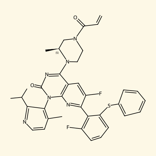 C=CC(=O)N1CCN(c2nc(=O)n(-c3c(C)ccnc3C(C)C)c3nc(-c4c(F)cccc4Sc4ccccc4)c(F)cc23)[C@@H](C)C1